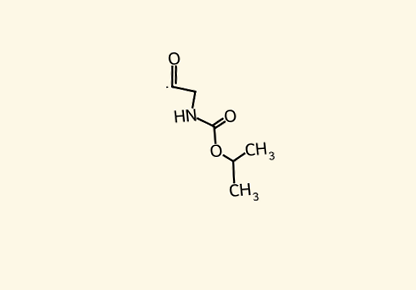 CC(C)OC(=O)NC[C]=O